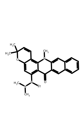 CCN(c1cc2c(c3c1c(=O)c1cc4ccccc4cc1n3C)C=CC(C)(C)O2)N(C)C